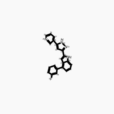 Fc1cccc(-c2cccc3[nH]c(-c4cc(-c5cccnc5)[nH]n4)cc23)c1